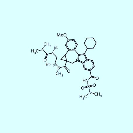 CC[C@H](CN(CC)C(=O)N(C)C)N(C)C(=O)C12CC1c1cc(OC)ccc1-c1c(C3CCCCC3)c3ccc(C(=O)NS(=O)(=O)N(C)C)cc3n1C2